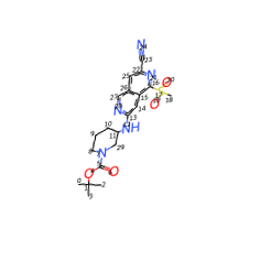 CC(C)(C)OC(=O)N1CCCC(Nc2cc3c(S(C)(=O)=O)nc(C#N)cc3cn2)C1